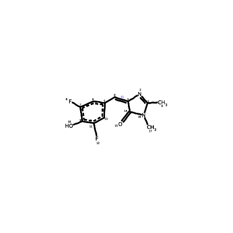 CC1=N/C(=C/c2cc(F)c(O)c(F)c2)C(=O)N1C